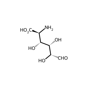 N[C@H](C(=O)O)[C@@H](O)[C@H](O)[C@@H](O)C=O